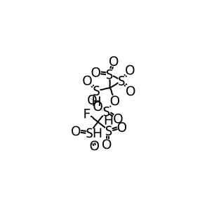 O=[SH](=O)C(F)([SH](=O)=O)S(=O)(=O)OC1([SH](=O)=O)S(=O)(=O)S1(=O)=O